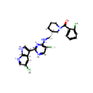 O=C(c1ccccc1F)N1CCC[C@@H](CNc2nc(-c3c[nH]c4ncc(Cl)cc34)ncc2F)C1